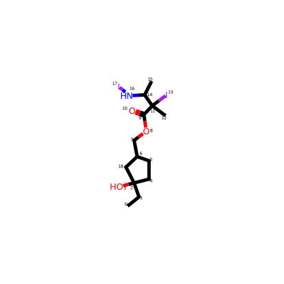 CCC1(O)CCC(COC(=O)C(C)(I)C(C)NI)C1